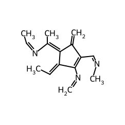 C=NC1=C(/C=N\C)C(=C)C(=C(C)/N=C\C)/C1=C\C